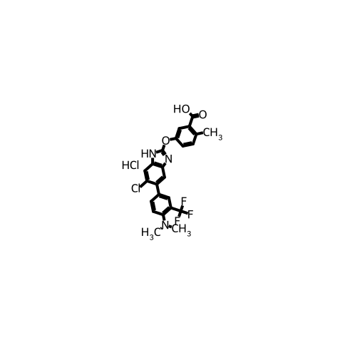 Cc1ccc(Oc2nc3cc(-c4ccc(N(C)C)c(C(F)(F)F)c4)c(Cl)cc3[nH]2)cc1C(=O)O.Cl